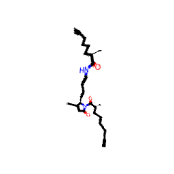 C#CCCCC[C@@H](C)C(=O)NCCCC[C@@H]1C(C)=CC(=O)N1C(=O)[C@H](C)CCCCC#C